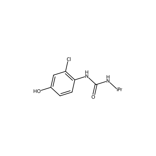 CC(C)NC(=O)Nc1ccc(O)cc1Cl